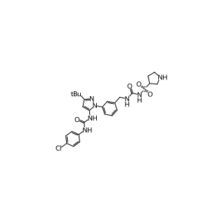 CC(C)(C)c1cc(NC(=O)Nc2ccc(Cl)cc2)n(-c2cccc(CNC(=O)NS(=O)(=O)C3CCNC3)c2)n1